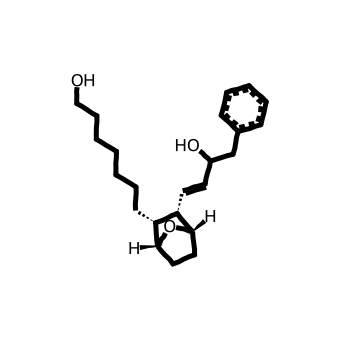 OCCCCCCC[C@@H]1[C@H](C=CC(O)Cc2ccccc2)[C@@H]2CC[C@H]1O2